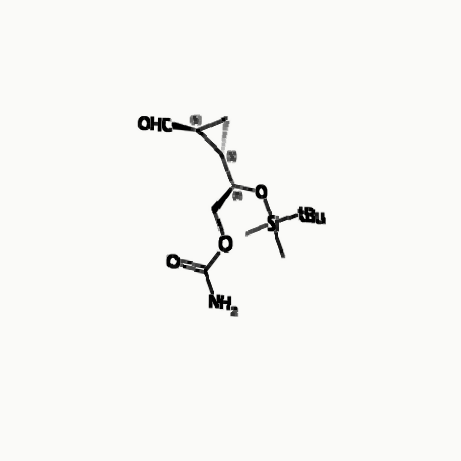 CC(C)(C)[Si](C)(C)O[C@@H](COC(N)=O)[C@H]1C[C@@H]1C=O